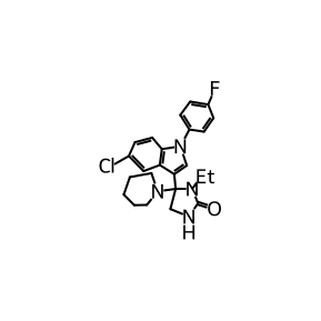 CCN1C(=O)NCC1(c1cn(-c2ccc(F)cc2)c2ccc(Cl)cc12)N1CCCCC1